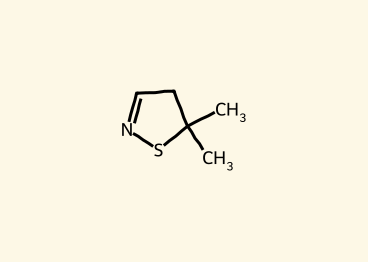 CC1(C)CC=NS1